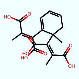 CC(C(=O)O)=C(C(=O)O)C1=CC=CCC1(C)C(C(=O)O)=C(C)C(=O)O